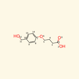 O=C(O)CCCOc1ccc(CO)cc1